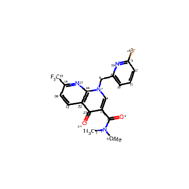 CON(C)C(=O)c1cn(Cc2cccc(Br)n2)c2nc(C(F)(F)F)ccc2c1=O